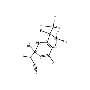 CC1=[C]C(Br)(C(C)C#N)NC(C(F)(C(F)(F)F)C(F)(F)F)=C1